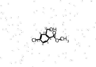 COC(=O)c1ccc(Cl)cc1[CH]O